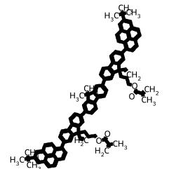 C=CC1(CCCOC(=O)C(=C)C)c2cc(-c3ccc4c(c3)C(C)(C)c3cc(-c5ccc6c(c5)C(C=C)(CCCOC(=O)C(=C)C)c5cc(-c7ccc8ccc9cc(C(C)(C)C)cc%10ccc7c8c9%10)ccc5-6)ccc3-4)ccc2-c2ccc(-c3ccc4ccc5cc(C(C)(C)C)cc6ccc3c4c56)cc21